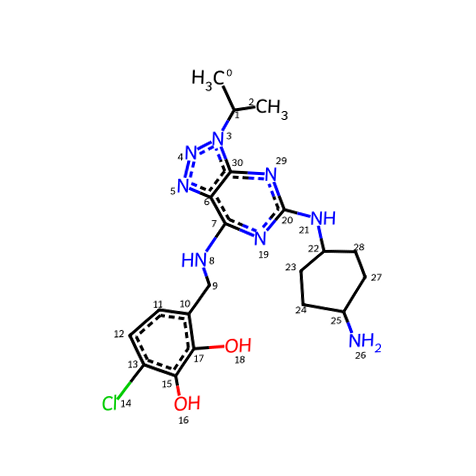 CC(C)n1nnc2c(NCc3ccc(Cl)c(O)c3O)nc(NC3CCC(N)CC3)nc21